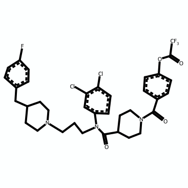 O=C(c1ccc(OC(=O)C(F)(F)F)cc1)N1CCC(C(=O)N(CCCN2CCC(Cc3ccc(F)cc3)CC2)c2ccc(Cl)c(Cl)c2)CC1